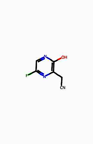 N#CCc1nc(F)cnc1O